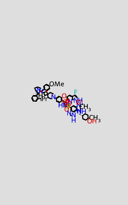 CCOc1nc2[nH]cc(F)c2cc1Oc1cc(N2CCC3(CC2)CC(N2CC4CC([C@H]2c2ccccc2C(C)C)N4Cc2ccc(OC)cc2)C3)ccc1C(=O)NS(=O)(=O)c1cc([NH+](C)[O-])c(NC[C@H]2CC[C@](C)(O)CC2)c2[nH]cnc12